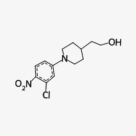 O=[N+]([O-])c1ccc(N2CCC(CCO)CC2)cc1Cl